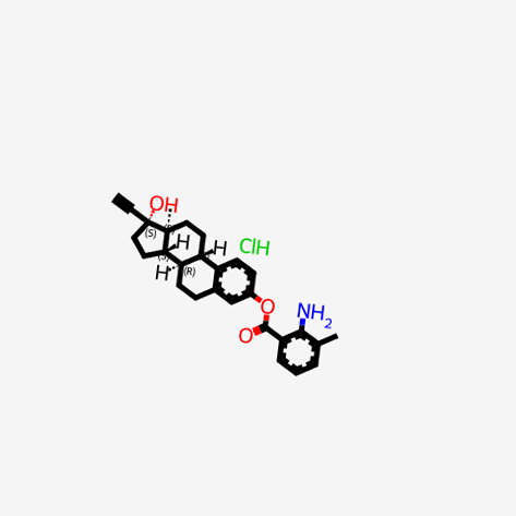 C#C[C@]1(O)CC[C@H]2[C@@H]3CCc4cc(OC(=O)c5cccc(C)c5N)ccc4[C@H]3CC[C@@]21C.Cl